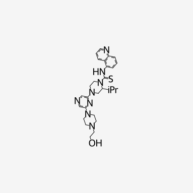 CC(C)C1CN(c2cncc(N3CCN(CCO)CC3)n2)CCN1C(=S)Nc1cccc2ncccc12